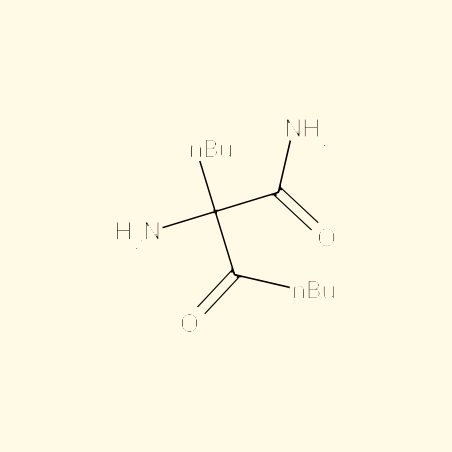 CCCCC(=O)C(N)(CCCC)C(N)=O